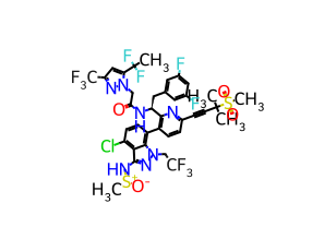 C[S+]([O-])Nc1nn(CC(F)(F)F)c2c(-c3ccc(C#CC(C)(C)S(C)(=O)=O)nc3[C@H](Cc3cc(F)cc(F)c3)NC(=O)Cn3nc(C(F)(F)F)cc3C(C)(F)F)ccc(Cl)c12